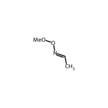 CC=NOOC